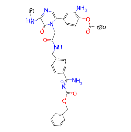 CC(C)Nc1ncc(-c2ccc(OC(=O)C(C)(C)C)c(N)c2)n(CC(=O)NCc2ccc(/C(N)=N/C(=O)OCc3ccccc3)cc2)c1=O